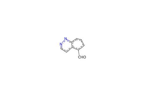 O=Cc1cccc2nnccc12